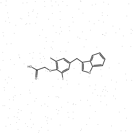 O=C(O)COc1c(I)cc(Cc2coc3ccccc23)cc1I